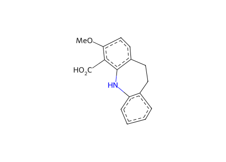 COc1ccc2c(c1C(=O)O)Nc1ccccc1CC2